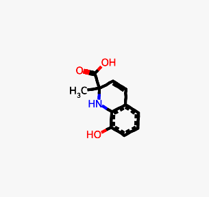 CC1(C(=O)O)C=Cc2cccc(O)c2N1